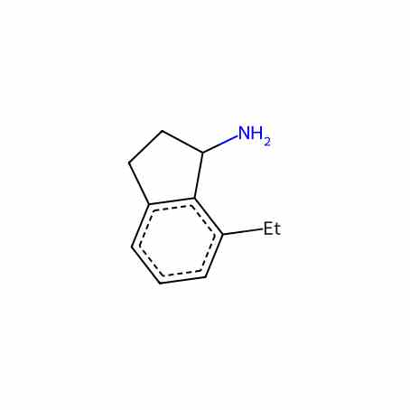 CCc1cccc2c1C(N)CC2